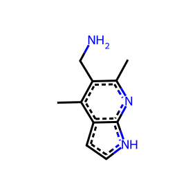 Cc1nc2[nH]ccc2c(C)c1CN